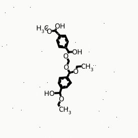 CCOC(O)c1ccc(C(OCC)OCOC(O)c2ccc(C(O)OC)cc2)cc1